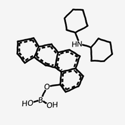 C1CCC(NC2CCCCC2)CC1.OB(O)Oc1cccc2ccc3cc4ccccc4cc3c12